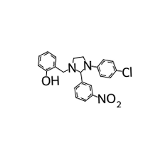 O=[N+]([O-])c1cccc(C2N(Cc3ccccc3O)CCN2c2ccc(Cl)cc2)c1